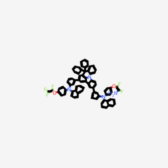 N/C(F)=C(/F)Oc1ccc(N(c2cccc(-c3ccc4c(c3)c3cc(-c5cccc(N(c6ccc(OC(F)=C(F)F)cc6)c6cccc7ccccc67)c5)cc5c3n4-c3ccccc3C5(c3ccccc3)c3ccccc3)c2)c2cccc3ccccc23)cc1